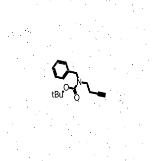 C#CCCN(Cc1ccccc1)C(=O)OC(C)(C)C